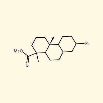 COC(=O)C1(C)CCC[C@]2(C)C3CCC(C(C)C)CC3CCC12